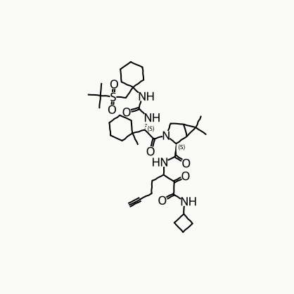 C#CCCC(NC(=O)[C@@H]1C2C(CN1C(=O)[C@@H](NC(=O)NC1(CS(=O)(=O)C(C)(C)C)CCCCC1)C1(C)CCCCC1)C2(C)C)C(=O)C(=O)NC1CCC1